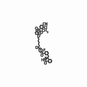 Cc1c(N2C(=O)[C@@H]3[C@H](OCCCCCCC(=O)N4CCN(C(=O)c5cc(Cc6n[nH]c(=O)c7ccccc67)ccc5F)CC4)CCN3C2=O)ccc(C#N)c1Cl